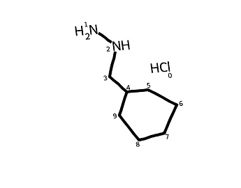 Cl.NNCC1CCCCC1